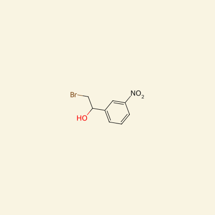 O=[N+]([O-])c1cccc(C(O)CBr)c1